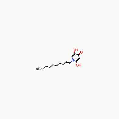 CCCCCCCCCCCCCCCCC=Cn1cc(O)c(=O)cc1O